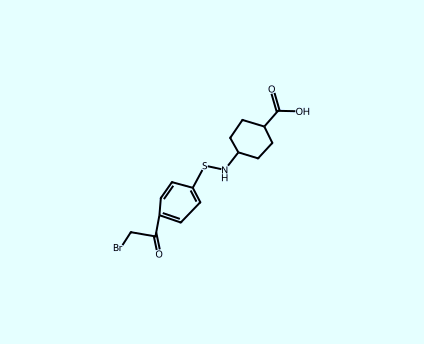 O=C(CBr)c1ccc(SNC2CCC(C(=O)O)CC2)cc1